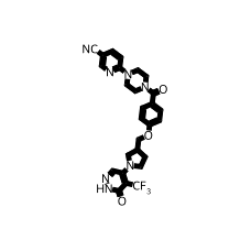 N#Cc1ccc(N2CCN(C(=O)c3ccc(OCC4CCN(c5cn[nH]c(=O)c5C(F)(F)F)C4)cc3)CC2)nc1